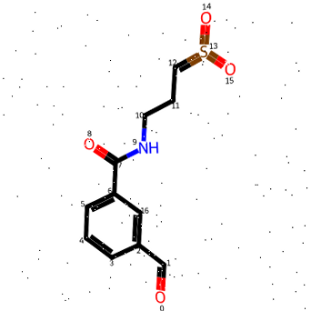 O=Cc1cccc(C(=O)NCCC=S(=O)=O)c1